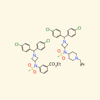 CC(C)CN1CCC(N(C2CN(C(c3ccc(Cl)cc3)c3ccc(Cl)cc3)C2)S(C)(=O)=O)CC1.CCOC(=O)c1cccc(N(C2CN(C(c3ccc(Cl)cc3)c3ccc(Cl)cc3)C2)S(C)(=O)=O)c1